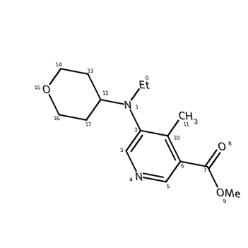 CCN(c1cncc(C(=O)OC)c1C)C1CCOCC1